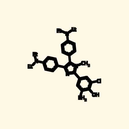 Bc1cc(-c2nc(-c3ccc(N(CC)CC)cc3)c(-c3ccc(N(CC)CC)cc3)n2C)cc(Cl)c1O